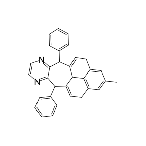 Cc1cc2c3c(c1)CC=C1C3C(=CC2)C(c2ccccc2)c2nccnc2C1c1ccccc1